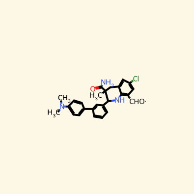 CN(C)c1ccc(-c2cccc(C3Nc4c([C]=O)cc(Cl)cc4CC3(C)C(N)=O)c2)cc1